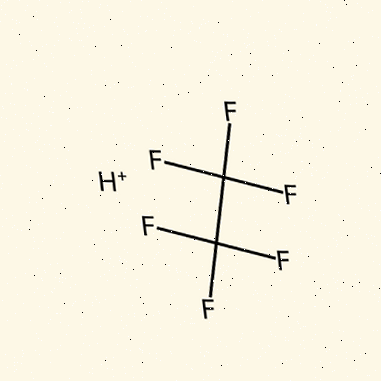 FC(F)(F)C(F)(F)F.[H+]